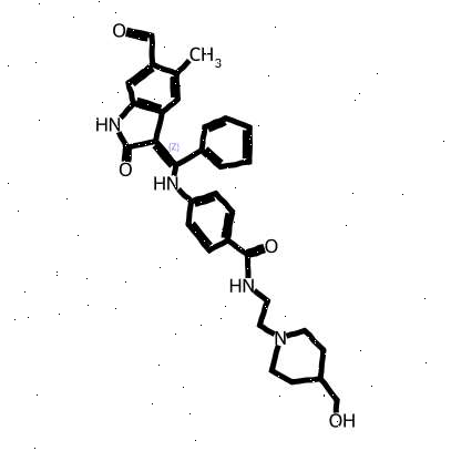 Cc1cc2c(cc1C=O)NC(=O)/C2=C(\Nc1ccc(C(=O)NCCN2CCC(CO)CC2)cc1)c1ccccc1